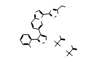 COCc1nc(-c2cnc3ccc(-c4c[nH]nc4-c4ccccc4F)cn23)no1.O=C(O)C(F)(F)F.O=C(O)C(F)(F)F